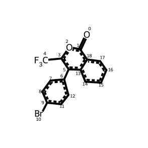 O=c1oc(C(F)(F)F)c(-c2ccc(Br)cc2)c2ccccc12